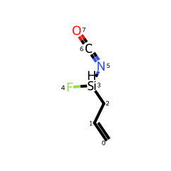 C=CC[SiH](F)N=C=O